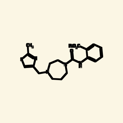 CCOC(=O)c1ccccc1NC(=O)N1CCCN(Cc2csc(C)n2)CC1